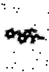 CC(C)(C)OC(=O)n1c(CBr)nc2c(Oc3ccccc3)ncnc21